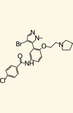 Cn1ncc(Br)c1-c1cc(NC(=O)c2ccc(Cl)cc2)ccc1OCCN1CCCC1